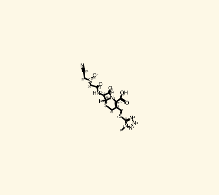 Cn1nnnc1SCC1=C(C(=O)O)N2C(=O)C(NC(=O)C[S+]([O-])CC#N)[C@H]2SC1